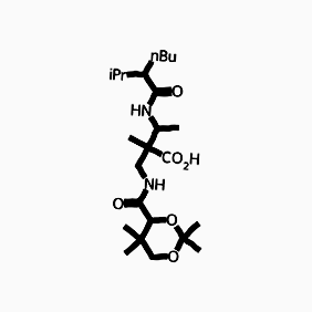 CCCCC(C(=O)NC(C)C(C)(CNC(=O)C1OC(C)(C)OCC1(C)C)C(=O)O)C(C)C